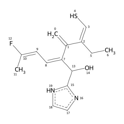 C=C(/C(=C\S)CC)/C(=C\C=C(/C)F)C(O)c1ncc[nH]1